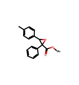 Cc1ccc(C2OC2(C(=O)OC(C)(C)C)c2ccccc2)cc1